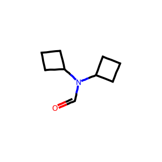 O=CN(C1CCC1)C1CCC1